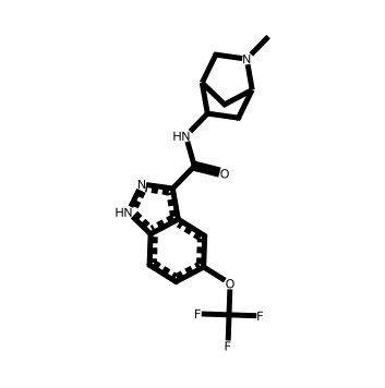 CN1CC2CC1CC2NC(=O)c1n[nH]c2ccc(OC(F)(F)F)cc12